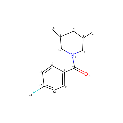 CC1CC(C)CN(C(=O)c2ccc(F)cc2)C1